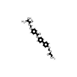 C=CC(=O)OCOc1ccc(-c2ccc(OC(=O)c3ccc(OCOC(=O)C(=C)C)cc3)cc2)cc1